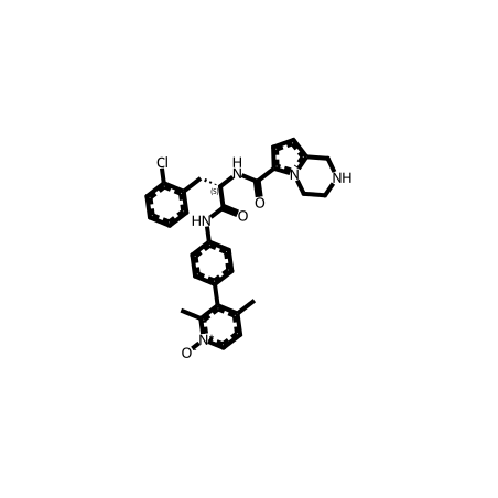 Cc1cc[n+]([O-])c(C)c1-c1ccc(NC(=O)[C@H](Cc2ccccc2Cl)NC(=O)c2ccc3n2CCNC3)cc1